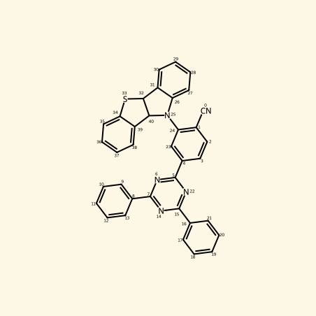 N#Cc1ccc(-c2nc(-c3ccccc3)nc(-c3ccccc3)n2)cc1N1c2ccccc2C2Sc3ccccc3C21